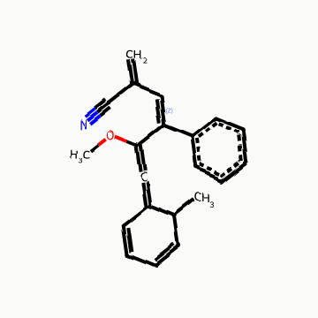 C=C(C#N)/C=C(\C(=C=C1C=CC=CC1C)OC)c1ccccc1